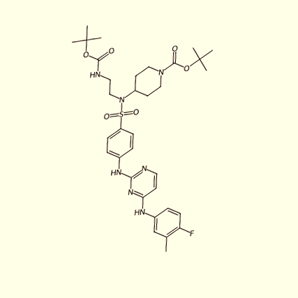 Cc1cc(Nc2ccnc(Nc3ccc(S(=O)(=O)N(CCNC(=O)OC(C)(C)C)C4CCN(C(=O)OC(C)(C)C)CC4)cc3)n2)ccc1F